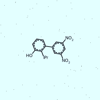 CC(C)c1c(O)cccc1-c1cc([N+](=O)[O-])cc([N+](=O)[O-])c1